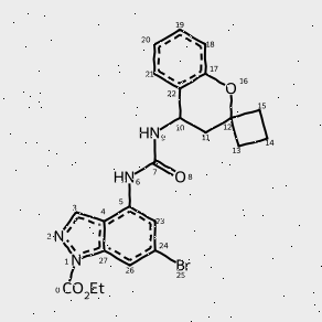 CCOC(=O)n1ncc2c(NC(=O)NC3CC4(CCC4)Oc4ccccc43)cc(Br)cc21